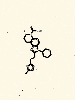 COC(=O)N1c2ccc3c(nc(CCc4ncc(C)o4)n3C3CCCCC3)c2CC[C@@H]1C